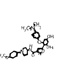 COC1CCC(N2CCC(NC(=O)c3cc(-c4c(O)cc(O)cc4Oc4ccc(N(C)C)cc4)on3)CC2)CC1